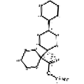 CCCCCOC(=O)C1([C@]2(CC)CC[C@H](C3CCCCC3)CC2)CCCCC1